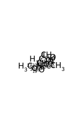 CCn1c(=O)cc(C(C)C)c2cc(C(=O)N(C)c3cccc(C)c3)ccc21